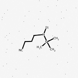 CCN(CCCC#N)[Si](C)(C)C